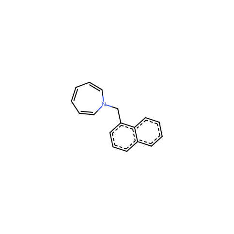 C1=CC=CN(Cc2cccc3ccccc23)C=C1